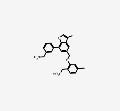 CC(=O)c1ccc(CC(=O)O)c(OCc2cc(-c3cccc(CN)c3)c3occ(C)c3c2)c1